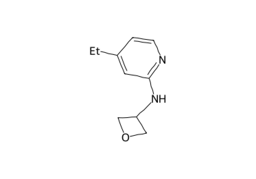 CCc1ccnc(NC2COC2)c1